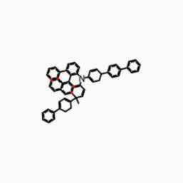 CC1(C2=CC=C(c3ccccc3)CC2)C=CC(N(C2=CCC(c3ccc(-c4ccccc4)cc3)C=C2)c2cccc(-c3ccccc3)c2-c2cccc3ccccc23)=CC1